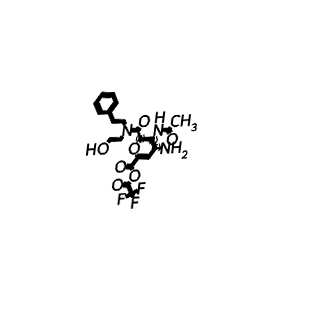 CC(=O)N[C@@H]1[C@@H](N)C=C(C(=O)OC(=O)C(F)(F)F)O[C@H]1C(=O)N(CCO)CCc1ccccc1